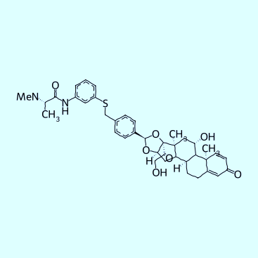 CN[C@@H](C)C(=O)Nc1cccc(SCc2ccc([C@@H]3O[C@@H]4CC5[C@@H]6CCC7=CC(=O)C=C[C@]7(C)C6[C@@H](O)C[C@]5(C)[C@]4(C(=O)CO)O3)cc2)c1